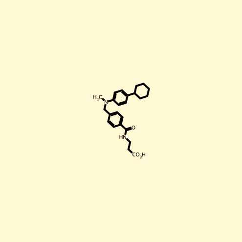 CN(Cc1ccc(C(=O)NCCC(=O)O)cc1)c1ccc(C2CCCCC2)cc1